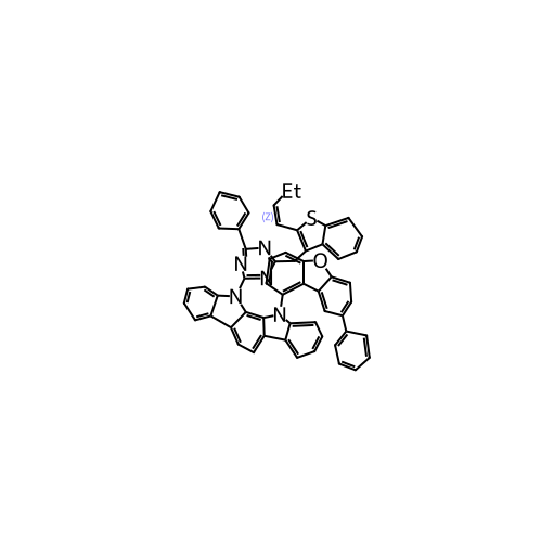 CC/C=C\c1sc2ccccc2c1Cc1nc(-c2ccccc2)nc(-n2c3ccccc3c3ccc4c5ccccc5n(-c5cccc6oc7ccc(-c8ccccc8)cc7c56)c4c32)n1